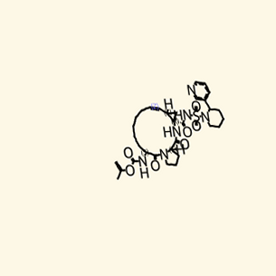 C=C(C)OC(=O)N[C@H]1CCCCC/C=C\[C@@H]2C[C@@]2(C(=O)NS(=O)(=O)N2CCCCC2c2cccnc2)NC(=O)[C@@H]2CCCN2C1=O